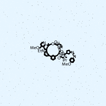 CCn1c(-c2cnccc2COC)c2c3cc(ccc31)-c1cccc(c1)C[C@H](NC(=O)[C@H](C(C)C)N(C)C(=O)C1CCC(N=C=Nc3ccc(OC)cc3)C1)C(=O)N1CCC[C@H](N1)C(=O)OCC(C)(C)C2